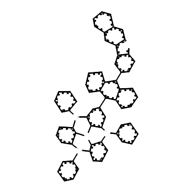 c1ccc(N2c3cccc4c3P3c5c2cccc5N(c2ccccc2)c2cc(-c5c6ccccc6c(-c6ccc7oc8cc9ccccc9cc8c7c6)c6ccccc56)cc(c23)N4c2ccccc2)cc1